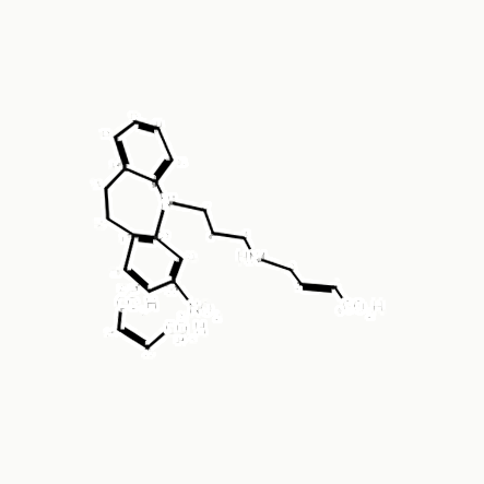 O=C(O)/C=C/CNCCCN1c2ccccc2CCc2ccc([N+](=O)[O-])cc21.O=C(O)/C=C\C(=O)O